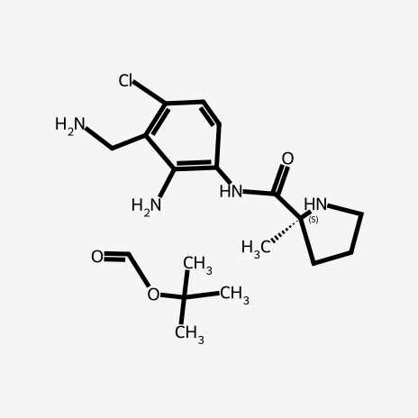 CC(C)(C)OC=O.C[C@@]1(C(=O)Nc2ccc(Cl)c(CN)c2N)CCCN1